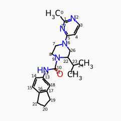 Cc1nccc(N2CCN(C(=O)Nc3ccc4c(c3)CCC4)C(C(C)C)C2)n1